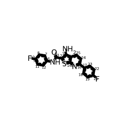 Nc1c(C(=O)Nc2ccc(F)cc2)sc2nc(-c3ccc(F)cc3)ccc12